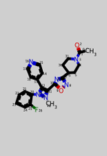 CC(=O)N1CCC(c2noc(-c3c(-c4ccncc4)n(-c4ccccc4F)n3C)n2)CC1